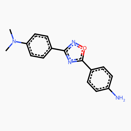 CN(C)c1ccc(-c2noc(-c3ccc(N)cc3)n2)cc1